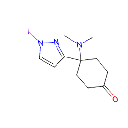 CN(C)C1(c2ccn(I)n2)CCC(=O)CC1